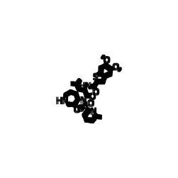 COc1cc2cc(C(=O)NC(CC(C)C)C(=O)N([C@H]3CCCNCC3=O)S(=O)(=O)c3cccc(C)n3)sc2cc1OC